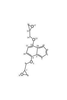 c1ccc2c(OCC3CO3)ccc(OCC3CO3)c2c1